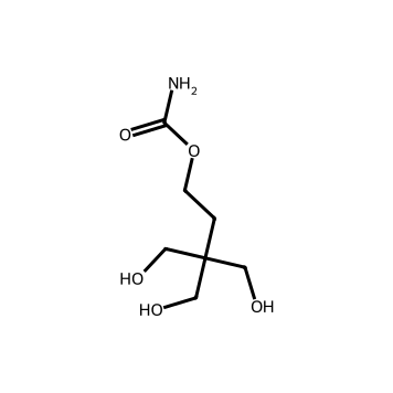 NC(=O)OCCC(CO)(CO)CO